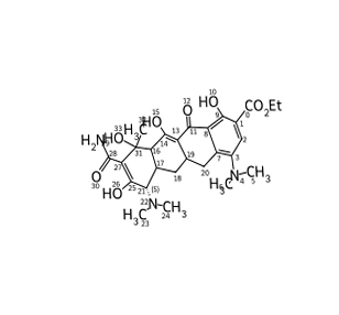 CCOC(=O)c1cc(N(C)C)c2c(c1O)C(=O)C1=C(O)C3C(CC1C2)[C@H](N(C)C)C(O)=C(C(N)=O)C3(C)O